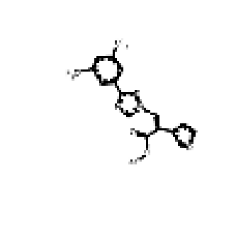 CC(C)OC(=O)/C(=C\n1cnc(-c2cc(C(F)(F)F)cc(C(F)(F)F)c2)n1)c1ccoc1